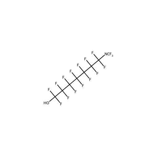 OC(F)(F)C(F)(F)C(F)(F)C(F)(F)C(F)(F)C(F)(F)C(F)(F)NC(F)(F)F